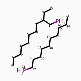 CCCCCCCCC(CC)CP.CCCCCCCCCCP